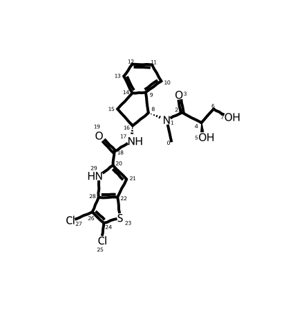 CN(C(=O)[C@H](O)CO)[C@H]1c2ccccc2C[C@H]1NC(=O)c1cc2sc(Cl)c(Cl)c2[nH]1